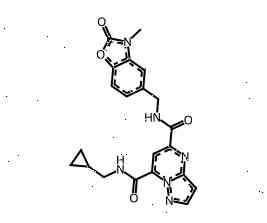 Cn1c(=O)oc2ccc(CNC(=O)c3cc(C(=O)NCC4CC4)n4nccc4n3)cc21